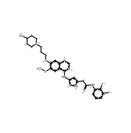 COc1cc2c(Nc3cc(CC(=O)Nc4cccc(F)c4F)[nH]n3)ncnc2cc1OCCCN1CCC(O)CC1